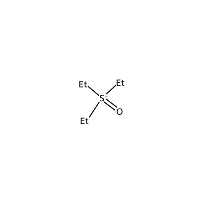 CC[S+](=O)(CC)CC